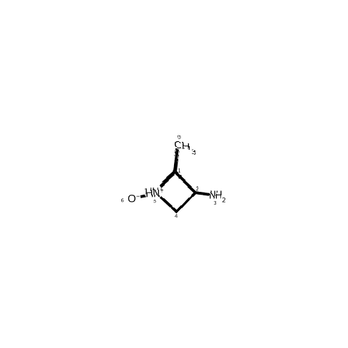 CC1C(N)C[NH+]1[O-]